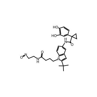 CC(C)(C)c1cc2cc(NC(=O)C3(c4ccc(O)c(O)c4)CC3)ccc2n1CCCC(=O)NCCN=O